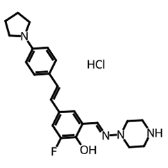 Cl.Oc1c(F)cc(/C=C/c2ccc(N3CCCC3)cc2)cc1/C=N/N1CCNCC1